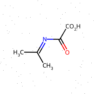 CC(C)=NC(=O)C(=O)O